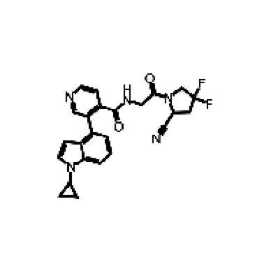 N#CC1CC(F)(F)CN1C(=O)CNC(=O)c1ccncc1-c1cccc2c1ccn2C1CC1